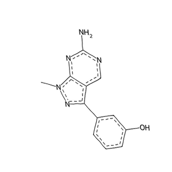 Cn1nc(-c2cccc(O)c2)c2cnc(N)nc21